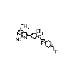 Cn1cnc2c(C#N)nc(-c3ccc(OCCC4(F)CCN(CCF)CC4)c(C(F)(F)F)c3)cc21